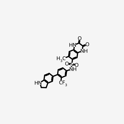 Cc1cc2[nH]c(=O)c(=O)[nH]c2cc1S(=O)(=O)Nc1ccc(-c2ccc3c(c2)CCN3)c(C(F)(F)F)c1